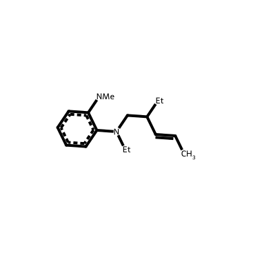 CC=CC(CC)CN(CC)c1ccccc1NC